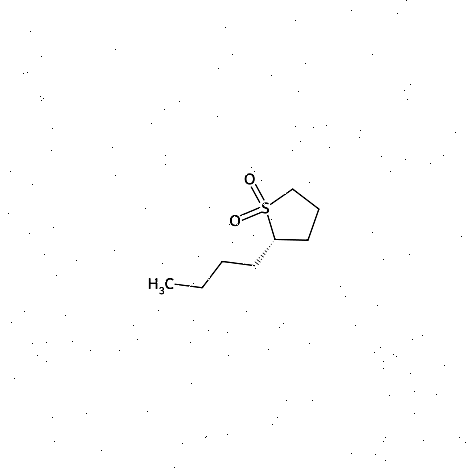 CCCC[C@H]1CCCS1(=O)=O